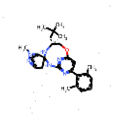 Cc1cccc(C)c1-c1cc2nc(n1)NC1(Cc3cc1n(C)n3)N[C@H](CC(C)(C)C)CO2